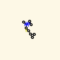 c1ccc(-c2nc(-c3ccc4sc5cc(-c6ccc7c8ccccc8c8ccccc8c7c6)ccc5c4c3)nc(-n3c4ccccc4c4ccccc43)n2)cc1